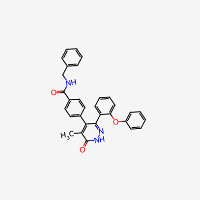 Cc1c(-c2ccc(C(=O)NCc3ccccc3)cc2)c(-c2ccccc2Oc2ccccc2)n[nH]c1=O